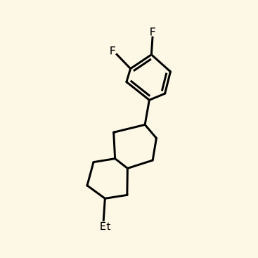 CCC1CCC2CC(c3ccc(F)c(F)c3)CCC2C1